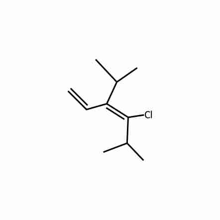 C=C/C(=C(/Cl)C(C)C)C(C)C